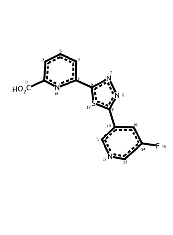 O=C(O)c1cccc(-c2nnc(-c3cncc(F)c3)s2)n1